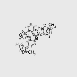 Cc1noc(C)c1-c1ccc2nc(N3CCN(CC(C)(C)O)CC3)nc(N3CCOCC3c3ccccc3)c2c1